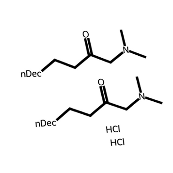 CCCCCCCCCCCCC(=O)CN(C)C.CCCCCCCCCCCCC(=O)CN(C)C.Cl.Cl